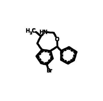 CC1Cc2ccc(Br)cc2C(c2ccccc2)OCN1